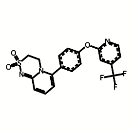 O=S1(=O)CCN2C(c3ccc(Oc4cc(C(F)(F)F)ccn4)cc3)=CC=CC2=N1